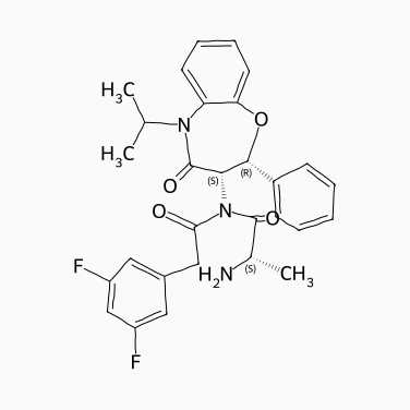 CC(C)N1C(=O)[C@@H](N(C(=O)Cc2cc(F)cc(F)c2)C(=O)[C@H](C)N)[C@@H](c2ccccc2)Oc2ccccc21